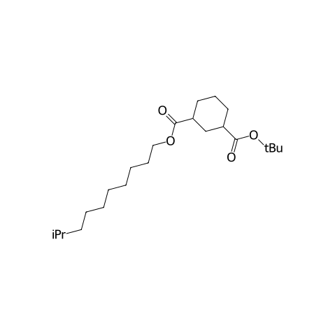 CC(C)CCCCCCCCOC(=O)C1CCCC(C(=O)OC(C)(C)C)C1